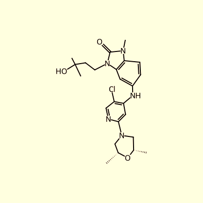 C[C@@H]1CN(c2cc(Nc3ccc4c(c3)n(CCC(C)(C)O)c(=O)n4C)c(Cl)cn2)C[C@H](C)O1